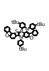 CC(C)(C)c1ccc(N2c3cc4oc5ccccc5c4c4c3B(c3cc(C(C)(C)C)ccc3N4c3ccc(C(C)(C)C)cc3)c3sc4c(ccc5oc6ccccc6c54)c32)cc1